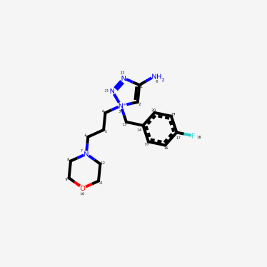 NC1=C[N+](CCCN2CCOCC2)(Cc2ccc(F)cc2)N=N1